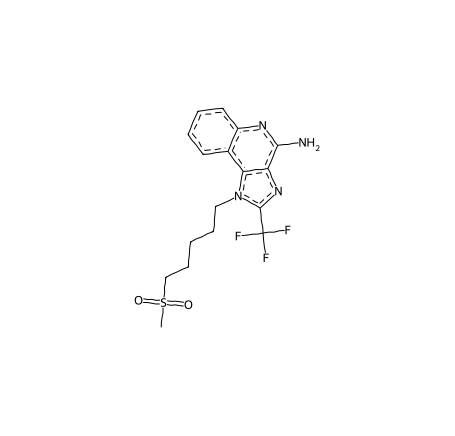 CS(=O)(=O)CCCCCn1c(C(F)(F)F)nc2c(N)nc3ccccc3c21